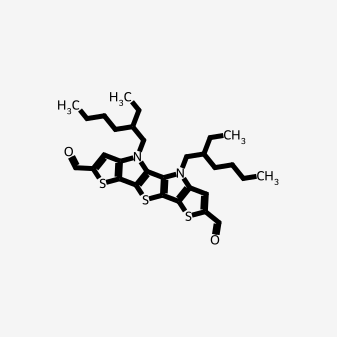 CCCCC(CC)Cn1c2cc(C=O)sc2c2sc3c4sc(C=O)cc4n(CC(CC)CCCC)c3c21